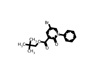 CC(C)(C)COC(=O)c1cc(Br)cn(-c2ccccc2)c1=O